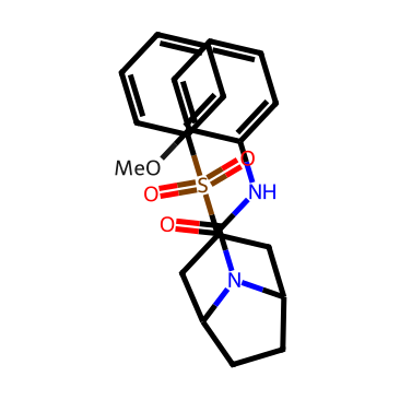 COc1ccccc1NC(=O)N1C2CCC1CC(S(=O)(=O)c1ccccc1)C2